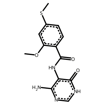 COc1cc(SC)ccc1C(=O)Nc1c(N)nc[nH]c1=O